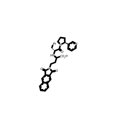 CC(C)C[C@@H](NC(CCN1C(=O)c2cc3ccccc3cc2C1=O)C(=O)O)C(=O)N1CCC[C@H]1c1cccnc1